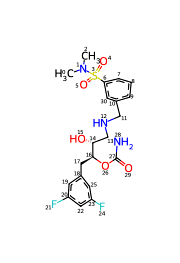 CN(C)S(=O)(=O)c1cccc(CNC[C@@H](O)[C@H](Cc2cc(F)cc(F)c2)OC(N)=O)c1